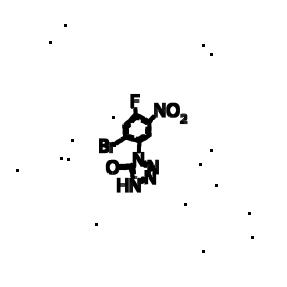 O=c1[nH]nnn1-c1cc([N+](=O)[O-])c(F)cc1Br